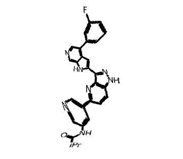 CC(C)C(=O)Nc1cncc(-c2ccc3[nH]nc(-c4cc5c(-c6cccc(F)c6)cncc5[nH]4)c3n2)c1